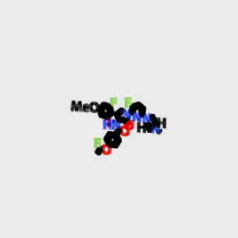 COc1cc(F)c([C@@H]2CN(c3nc(N4C[C@H]5C[C@@H]4CN5C)ccc3F)C(=O)[C@H]2NC(=O)c2ccc(OC(C)F)cc2)c(I)c1